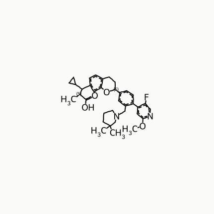 COc1cc(-c2ccc([C@@H]3CCc4ccc(C(C5CC5)[C@H](C)C(=O)O)cc4O3)cc2CN2CCCC(C)(C)C2)c(F)cn1